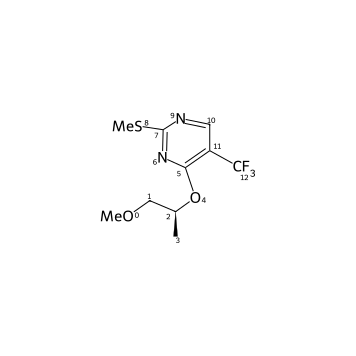 COC[C@H](C)Oc1nc(SC)ncc1C(F)(F)F